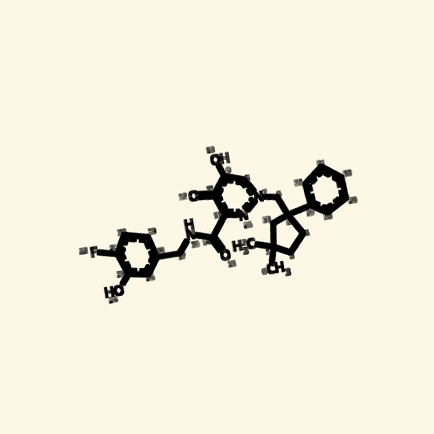 CC1(C)CCC(Cn2cc(O)c(=O)c(C(=O)NCc3ccc(F)c(O)c3)n2)(c2ccccc2)C1